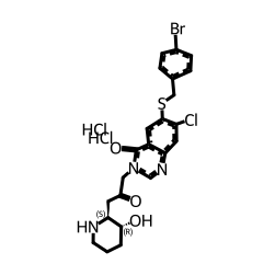 Cl.Cl.O=C(C[C@@H]1NCCC[C@H]1O)Cn1cnc2cc(Cl)c(SCc3ccc(Br)cc3)cc2c1=O